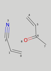 C=CC#N.C=CC(C)=O